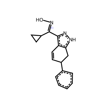 O/N=C(/c1n[nH]c2c1C=CC(c1ccccc1)C2)C1CC1